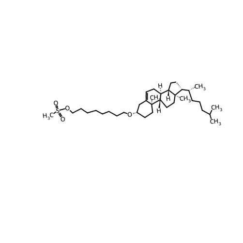 CC(C)CCC[C@@H](C)[C@H]1CC[C@H]2[C@@H]3CC=C4C[C@@H](OCCCCCCCCOS(C)(=O)=O)CC[C@]4(C)[C@H]3CC[C@]12C